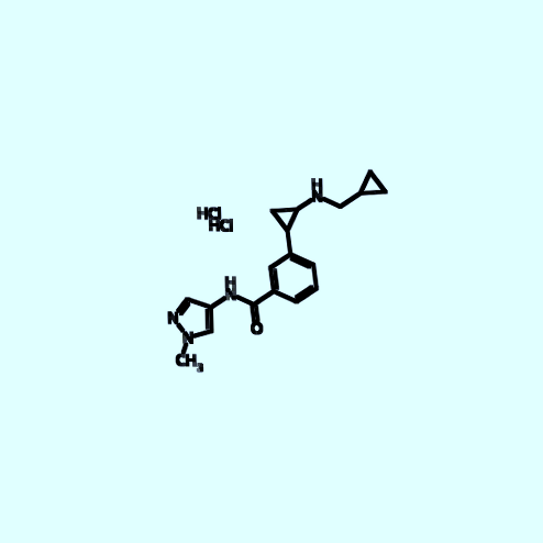 Cl.Cl.Cn1cc(NC(=O)c2cccc(C3CC3NCC3CC3)c2)cn1